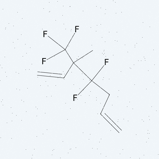 C=CCC(F)(F)C(C)(C=C)C(F)(F)F